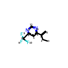 C=C(CC)c1cc(C(F)(F)F)ncn1